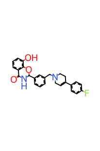 O=C1NC(c2cccc(CN3CC=C(c4ccc(F)cc4)CC3)c2)Oc2c(O)cccc21